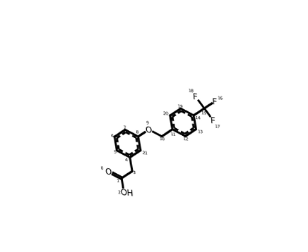 O=C(O)Cc1cccc(OCc2ccc(C(F)(F)F)cc2)c1